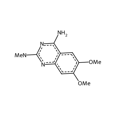 CNc1nc(N)c2cc(OC)c(OC)cc2n1